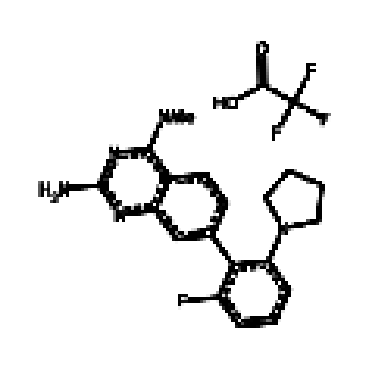 CNc1nc(N)nc2cc(-c3c(F)cccc3N3CCCC3)ccc12.O=C(O)C(F)(F)F